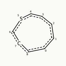 c1ccccsccc1